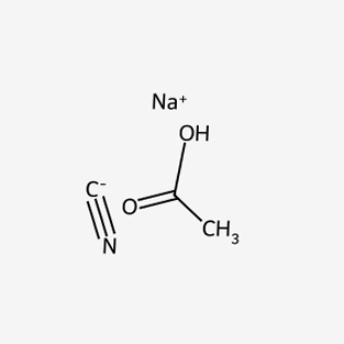 CC(=O)O.[C-]#N.[Na+]